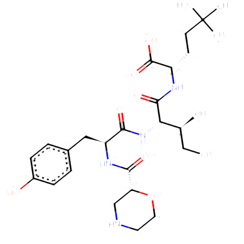 CC[C@H](C)[C@H](NC(=O)[C@H](Cc1ccc(O)cc1)NC(=O)[C@H]1CNCCO1)C(=O)N[C@@H](CCC(C)(C)C)C(=O)O